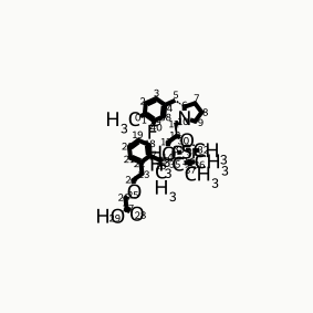 Cc1ccc(C[C@@H]2CCCN2C[C@H](CO[C@H](C)c2ccccc2CCOCC(=O)O)O[Si](C)(C)C(C)(C)C)cc1F